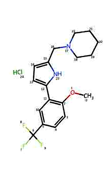 COc1ccc(C(F)(F)F)cc1-c1ccc(CN2CCCCC2)[nH]1.Cl